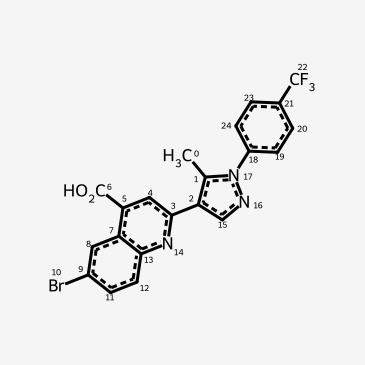 Cc1c(-c2cc(C(=O)O)c3cc(Br)ccc3n2)cnn1-c1ccc(C(F)(F)F)cc1